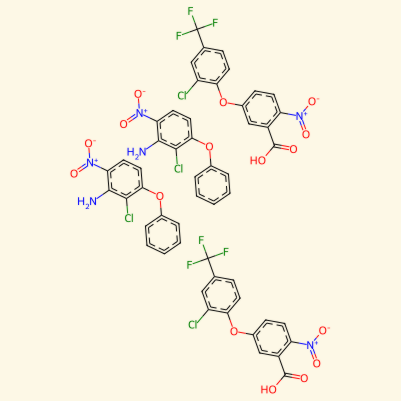 Nc1c([N+](=O)[O-])ccc(Oc2ccccc2)c1Cl.Nc1c([N+](=O)[O-])ccc(Oc2ccccc2)c1Cl.O=C(O)c1cc(Oc2ccc(C(F)(F)F)cc2Cl)ccc1[N+](=O)[O-].O=C(O)c1cc(Oc2ccc(C(F)(F)F)cc2Cl)ccc1[N+](=O)[O-]